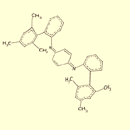 Cc1cc(C)c(-c2ccccc2N=C2C=CC(=Nc3ccccc3-c3c(C)cc(C)cc3C)C=C2)c(C)c1